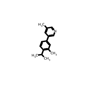 Cc1cncc(-c2ccc(C(C)C)c(C)c2)c1